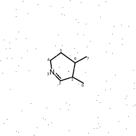 CC1C=NCCC1C